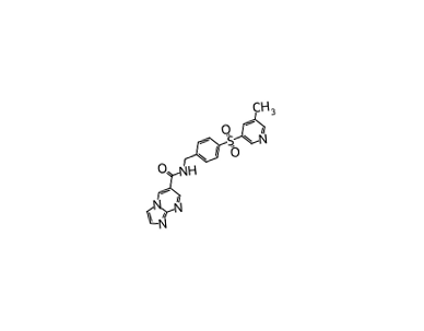 Cc1cncc(S(=O)(=O)c2ccc(CNC(=O)c3cnc4nccn4c3)cc2)c1